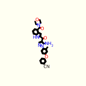 Cc1cc(Oc2cccc(C#N)c2)ccc1-n1ncc(C(=O)c2cc3c(C(=O)N4CCOCC4)cccc3[nH]2)c1N